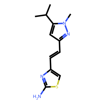 CC(C)c1cc(C=Cc2csc(N)n2)nn1C